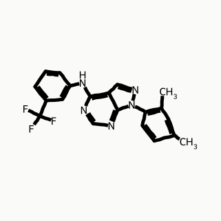 Cc1ccc(-n2ncc3c(Nc4cccc(C(F)(F)F)c4)ncnc32)c(C)c1